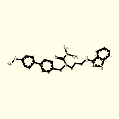 COc1ccc(-c2ccc(CN(CCCNc3nsc4ccccc34)C(=O)N(C)C)cc2)cc1